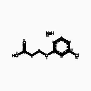 O=C(O)CCOc1cccc(Cl)c1.[NaH]